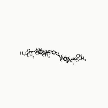 C=C(C)C(=O)OCCC[Si](C)(C)c1ccc([Si](C)(C)CCCOc2ccc(OCCC[Si](C)(C)c3ccc([Si](C)(C)CCCOC(=O)C(=C)C)cc3)cc2)cc1